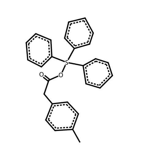 Cc1ccc(CC(=O)OS(c2ccccc2)(c2ccccc2)c2ccccc2)cc1